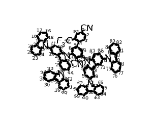 N#Cc1ccc(-c2cc(-n3c4ccc(-n5c6ccccc6c6ccccc65)cc4c4cc(-n5c6ccccc6c6ccccc65)ccc43)c(C#N)c(-n3c4ccc(-n5c6ccccc6c6ccccc65)cc4c4cc(-n5c6ccccc6c6ccccc65)ccc43)c2)c(C(F)(F)F)c1